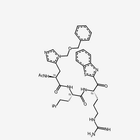 CC(=O)N[C@@H](Cc1cncn1COCc1ccccc1)C(=O)N[C@@H](CCC(C)C)C(=O)N[C@@H](CCCNC(=N)N)C(=O)c1nc2ccccc2s1